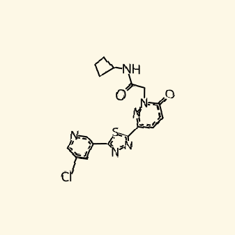 O=C(Cn1nc(-c2nnc(-c3cncc(Cl)c3)s2)ccc1=O)NC1CCC1